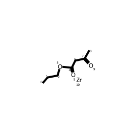 CCCOC(=O)CC(C)=O.[Zr]